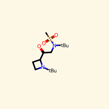 CC(C)(C)N1CCC1C(=O)CN(C(C)(C)C)S(C)(=O)=O